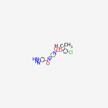 CC(C)c1cc(Cl)ccc1OCC(=O)N1CCC2(CC1)CN(C(=O)c1ccc3[nH]nnc3c1)C2